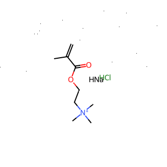 C=C(C)C(=O)OCC[N+](C)(C)C.Cl.[NaH]